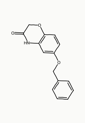 O=C1COc2ccc(OCc3ccccc3)cc2N1